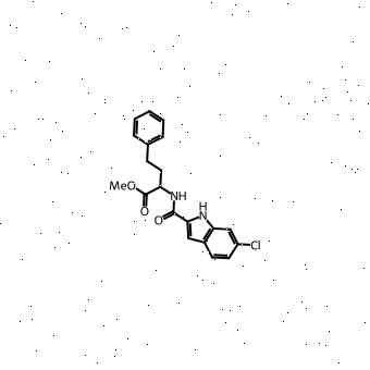 COC(=O)C(CCc1ccccc1)NC(=O)c1cc2ccc(Cl)cc2[nH]1